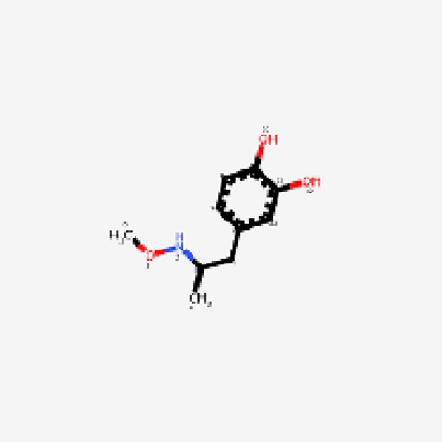 CONC(C)Cc1ccc(O)c(O)c1